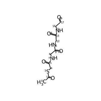 CC(=O)SCC(=O)NCC(=O)NCC(=O)NCC=O